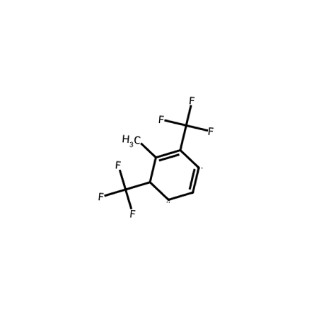 CC1=C(C(F)(F)F)[C]=C[C]C1C(F)(F)F